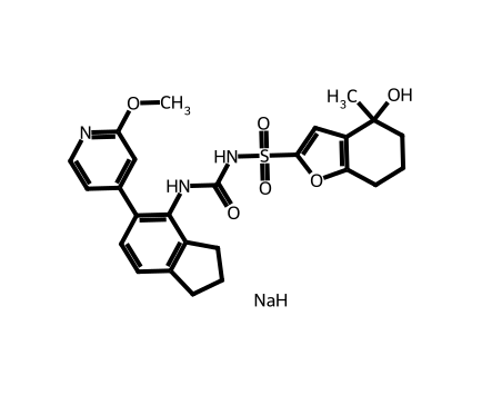 COc1cc(-c2ccc3c(c2NC(=O)NS(=O)(=O)c2cc4c(o2)CCCC4(C)O)CCC3)ccn1.[NaH]